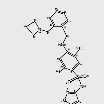 O=S(=O)(Nc1ccon1)c1cc(Cl)c(NCc2ccccc2CN2CCC2)cc1F